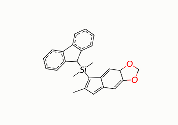 CC1=C([Si](C)(C)C2c3ccccc3-c3ccccc32)C2=CC3OCOC3=CC2=C1